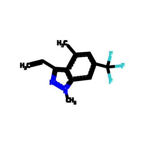 C=Cc1nn(C)c2cc(C(F)(F)F)cc(C)c12